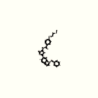 COCCOc1ccc(C(=O)Nc2cc(-c3ccc4ncn(Cc5ccccc5)c4c3)n[nH]2)cc1